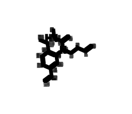 C=CCCN(C(=C)NC)c1cc(C=C)ccc1CC